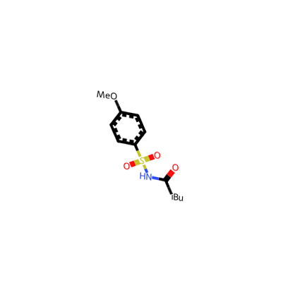 CCC(C)C(=O)NS(=O)(=O)c1ccc(OC)cc1